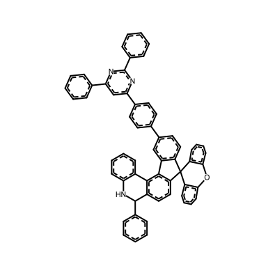 c1ccc(-c2cc(-c3ccc(-c4ccc5c(c4)-c4c(ccc6c4-c4ccccc4NC6c4ccccc4)C54c5ccccc5Oc5ccccc54)cc3)nc(-c3ccccc3)n2)cc1